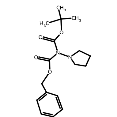 CC(C)(C)OC(=O)N(C(=O)OCc1ccccc1)N1CCCC1